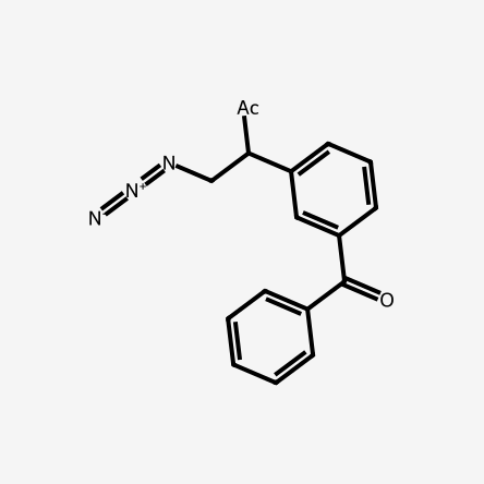 CC(=O)C(CN=[N+]=[N-])c1cccc(C(=O)c2ccccc2)c1